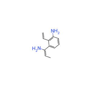 C=Cc1c(N)cccc1/C(N)=C\C